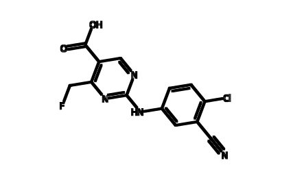 N#Cc1cc(Nc2ncc(C(=O)O)c(CF)n2)ccc1Cl